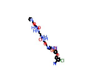 N#Cc1cc(Cl)cc2c1CC[C@H]2Oc1ccc(S(=O)(=O)N[C@H]2CCN(CCOCCNC(=O)NCCCCNC(=O)NCCOCCN3CCCC3)C2)cc1